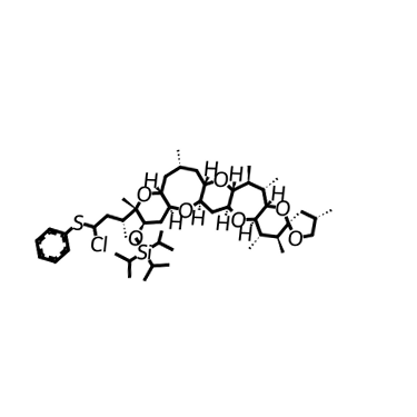 CC(C)[Si](O[C@@H]1C[C@@H]2O[C@@H]3C[C@@H]4O[C@@H]5[C@@H](C)[C@H](C)[C@@]6(C[C@H](C)CO6)O[C@H]5[C@@H](C)[C@H](C)[C@H]4O[C@H]3C[C@@H](C)C[C@H]2O[C@@]1(C)[C@H](C)CC(Cl)Sc1ccccc1)(C(C)C)C(C)C